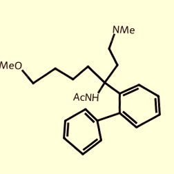 CNCCC(CCCCOC)(NC(C)=O)c1ccccc1-c1ccccc1